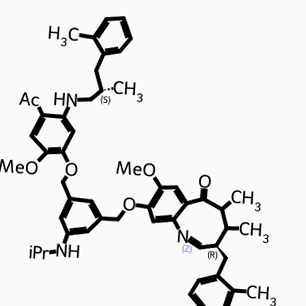 COc1cc2c(cc1OCc1cc(COc3cc(NC[C@@H](C)Cc4ccccc4C)c(C(C)=O)cc3OC)cc(NC(C)C)c1)/N=C\[C@H](Cc1ccccc1C)C(C)C(C)C2=O